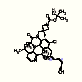 C#C/C=C\C=C(\Cl)Cc1nc2c(cc1Cl)n(CC1(F)CN(C(=O)OC(C)(C)C)C1)c(=O)c(=O)n2-c1c(C(C)C)ccnc1C(C)C